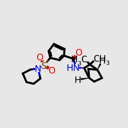 CC1(C)[C@@H]2CC[C@@H](C2)[C@H]1NC(=O)c1cccc(S(=O)(=O)N2CCCCC2)c1